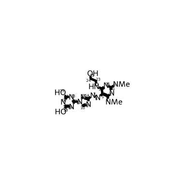 CNc1nc(NC)c(/N=N/c2ncn(-c3nc(O)nc(O)n3)n2)c(NCCO)n1